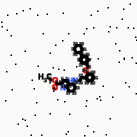 CCOC(=O)c1ccc2c(n1)CCCC2NCCc1ccccc1OCc1ccc(C2CCCCC2)cc1